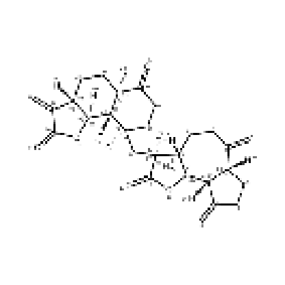 C=C1CC[C@H]2C(=C)CC[C@@H]3[C@H](OC(=O)[C@@]3(O)C[C@]3(C)CCC(=O)[C@]4(C)CC[C@H]5C(=C)C(=O)O[C@@H]5[C@@H]34)[C@@H]12